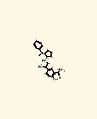 CN(c1ccccc1)[C@@H]1CCC[C@H]1NCC(O)c1ccc(O)c(C(N)=O)c1